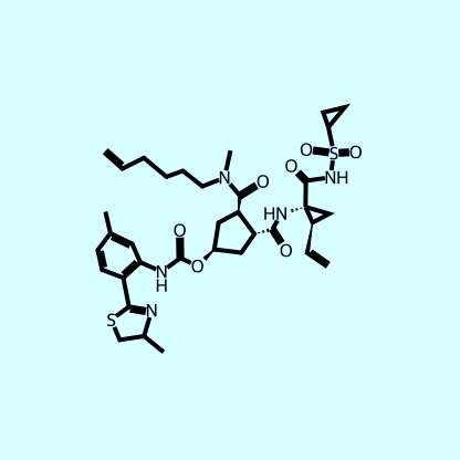 C=CCCCCN(C)C(=O)[C@@H]1C[C@H](OC(=O)Nc2cc(C)ccc2C2=NC(C)CS2)C[C@H]1C(=O)N[C@]1(C(=O)NS(=O)(=O)C2CC2)C[C@H]1C=C